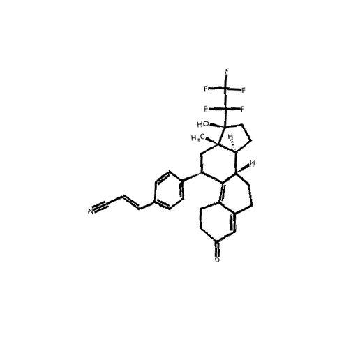 C[C@]12C[C@H](c3ccc(/C=C/C#N)cc3)C3=C4CCC(=O)C=C4CC[C@H]3[C@@H]1CC[C@@]2(O)C(F)(F)C(F)(F)F